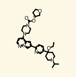 CCOC1(c2ccc(-c3cc4c(N5CCN(C(=O)O[C@@H]6CCOC6)CC5)ccnn4c3)nc2)CCN(C(C)C)CC1